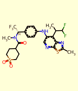 Cc1nc2c(C(C)C(F)F)c(Nc3ccc([C@H](N(C)C(=O)C4CCS(=O)(=O)CC4)C(F)(F)F)cc3)cnc2s1